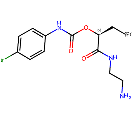 CC(C)C[C@H](OC(=O)Nc1ccc(Br)cc1)C(=O)NCCN